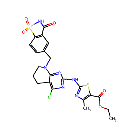 CCOC(=O)c1sc(Nc2nc(Cl)c3c(n2)N(Cc2ccc4c(c2)C(=O)NS4(=O)=O)CCC3)nc1C